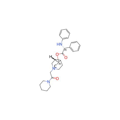 O=C(O[C@H]1C[N+]2(CC(=O)N3CCCCC3)CCC1CC2)[C@H](Nc1ccccc1)c1ccccc1